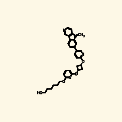 Cn1c2ccncc2c2ccc(-c3ccc(O[C@H]4C[C@H](Oc5cccc(OCCCCCCO)n5)C4)nc3)cc21